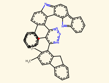 Cc1cc2c(c(-c3nnnc(-c4c(-c5ccccc5)ccc5c4-c4c6c(ccc4=N5)=c4ccccc4=N6)c3-c3ccccc3)c1C)Cc1ccccc1-2